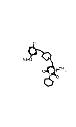 CCOc1ccc(Cl)c(CC2CCN(Cc3cc(=O)n(C4CCCCC4)c(=O)n3C)CC2)c1